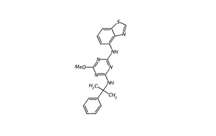 COc1nc(Nc2cccc3scnc23)nc(NC(C)(C)c2ccccc2)n1